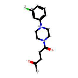 CCC(=O)CCC(=O)N1CCN(c2cccc(Cl)c2)CC1